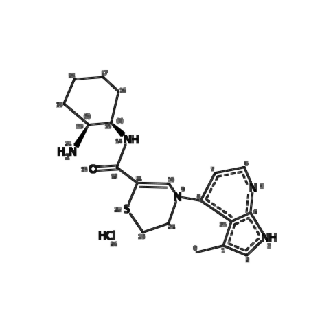 Cc1c[nH]c2nccc(N3C=C(C(=O)N[C@@H]4CCCC[C@@H]4N)SCC3)c12.Cl